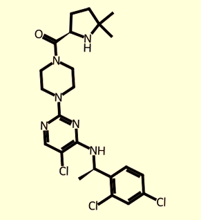 C[C@@H](Nc1nc(N2CCN(C(=O)[C@H]3CCC(C)(C)N3)CC2)ncc1Cl)c1ccc(Cl)cc1Cl